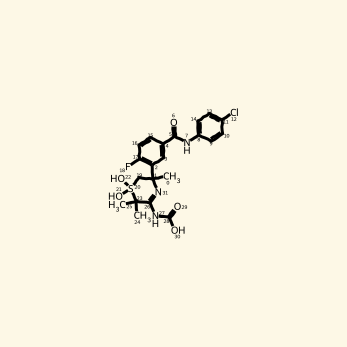 CC1(c2cc(C(=O)Nc3ccc(Cl)cc3)ccc2F)CS(O)(O)C(C)(C)C(NC(=O)O)=N1